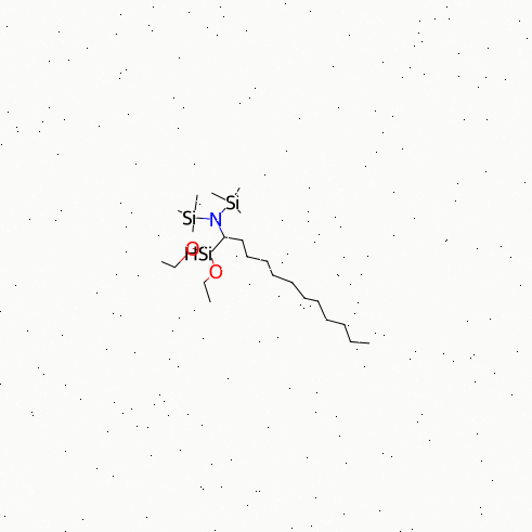 CCCCCCCCCCCC(N([Si](C)(C)C)[Si](C)(C)C)[SiH](OCC)OCC